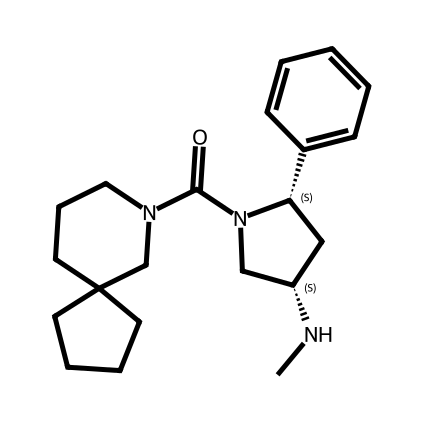 CN[C@H]1C[C@@H](c2ccccc2)N(C(=O)N2CCCC3(CCCC3)C2)C1